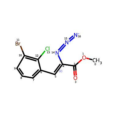 COC(=O)/C(=C/c1cccc(Br)c1Cl)N=[N+]=[N-]